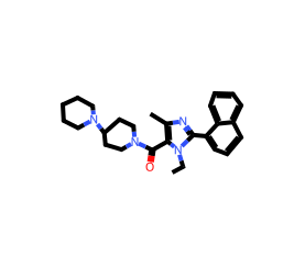 CCn1c(-c2cccc3ccccc23)nc(C)c1C(=O)N1CCC(N2CCCCC2)CC1